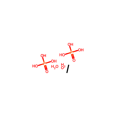 CC.O.O.O=P(O)(O)O.O=P(O)(O)O